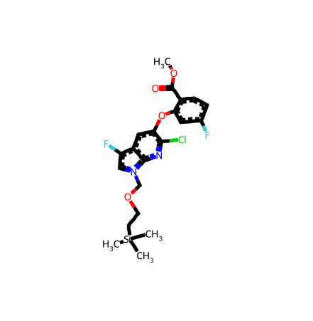 COC(=O)c1ccc(F)cc1Oc1cc2c(F)cn(COCC[Si](C)(C)C)c2nc1Cl